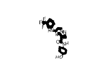 O=C(N[C@H]1CC[C@H](O)CC1)c1cnn2ccc(Nc3cccc(C(F)(F)F)c3)nc12